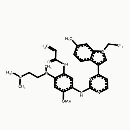 C=CC(=O)Nc1cc(Nc2nccc(-c3cn(CC(F)(F)F)c4cc(C)ccc34)n2)c(OC)cc1N(C)CCN(C)C